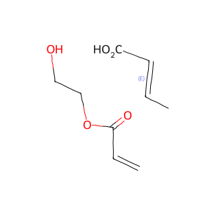 C/C=C/C(=O)O.C=CC(=O)OCCO